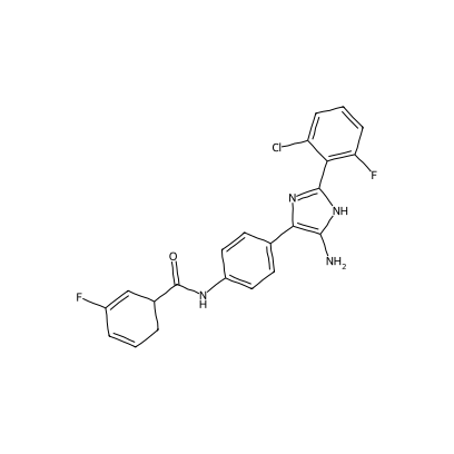 Nc1[nH]c(-c2c(F)cccc2Cl)nc1-c1ccc(NC(=O)C2C=C(F)C=CC2)cc1